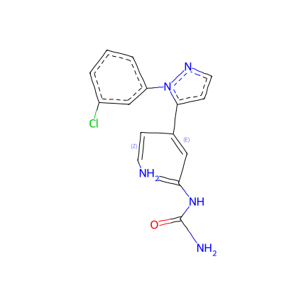 C=C(/C=C(\C=C/N)c1ccnn1-c1cccc(Cl)c1)NC(N)=O